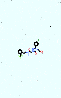 COCCn1c(-c2ccc(Cl)cc2)nn(CC(=O)NCCc2ccccc2C(F)(F)F)c1=O